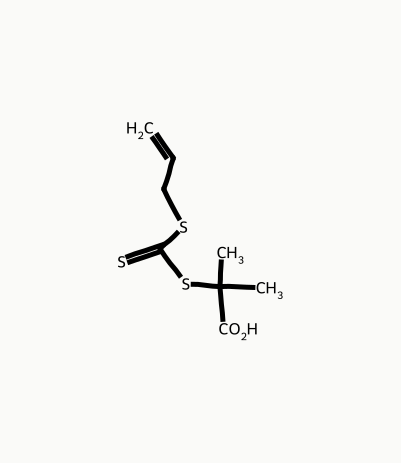 C=CCSC(=S)SC(C)(C)C(=O)O